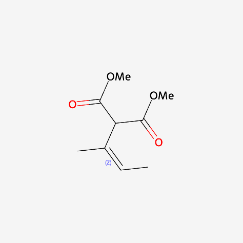 C/C=C(/C)C(C(=O)OC)C(=O)OC